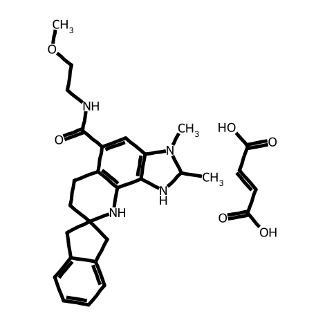 COCCNC(=O)c1cc2c(c3c1CCC1(Cc4ccccc4C1)N3)NC(C)N2C.O=C(O)C=CC(=O)O